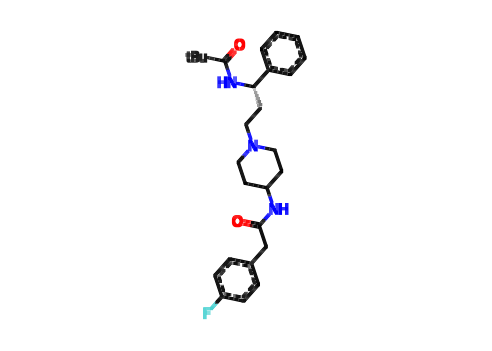 CC(C)(C)C(=O)N[C@@H](CCN1CCC(NC(=O)Cc2ccc(F)cc2)CC1)c1ccccc1